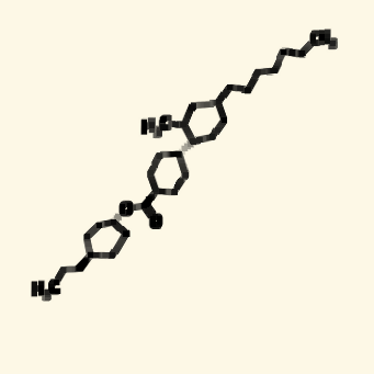 CCCCCCCC1CCC([C@H]2CC[C@H](C(=O)O[C@H]3CC[C@H](CCC)CC3)CC2)C(C)C1